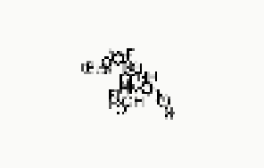 Cc1cc(F)c(Nc2ccnc3c2C(=O)Nc2cc(CN4CCC(N(C)C)CC4)ccc2N3)cc1O[Si](C)(C)C(C)(C)C.O=C(O)C(F)(F)F